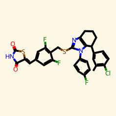 Cc1cc(C2CCCc3nc(SCc4c(F)cc(/C=C5\SC(=O)NC5=O)cc4F)n(-c4ccc(F)cc4)c32)ccc1Cl